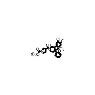 CC(C1CCN(C(=O)OC(C)(C)C)C1)N1CCC(C(N)=O)(c2ccccc2)C(c2ccc(Cl)c(Cl)c2)C1